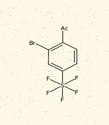 CC(=O)c1ccc(S(F)(F)(F)(F)F)cc1Br